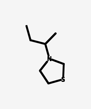 CCC(C)N1CCSC1